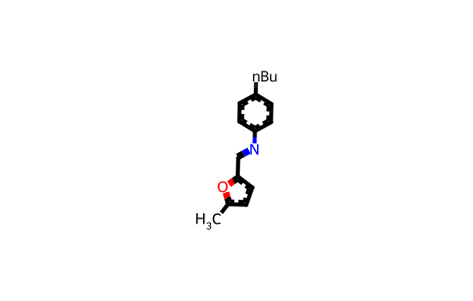 CCCCc1ccc(/N=C/c2ccc(C)o2)cc1